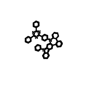 C1=CCC2C(=C1)N(c1ccc(-c3nc(-c4ccccc4)nc(-c4ccccc4)n3)cc1)c1cc3c(cc1-c1ccccc12)c1ccccc1n3-c1ccccc1